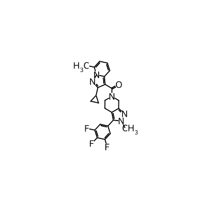 Cc1cccc2c(C(=O)N3CCc4c(nn(C)c4-c4cc(F)c(F)c(F)c4)C3)c(C3CC3)nn12